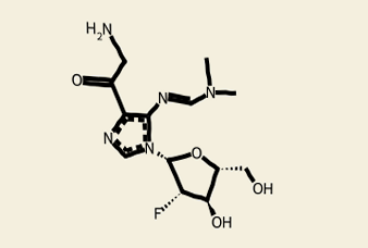 CN(C)C=Nc1c(C(=O)CN)ncn1[C@@H]1O[C@H](CO)[C@@H](O)[C@@H]1F